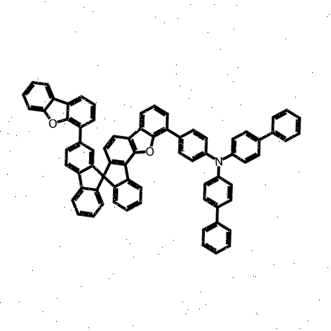 c1ccc(-c2ccc(N(c3ccc(-c4ccccc4)cc3)c3ccc(-c4cccc5c4oc4c6c(ccc45)C4(c5ccccc5-c5ccc(-c7cccc8c7oc7ccccc78)cc54)c4ccccc4-6)cc3)cc2)cc1